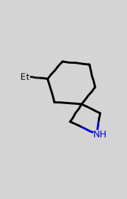 CCC1CCCC2(CNC2)C1